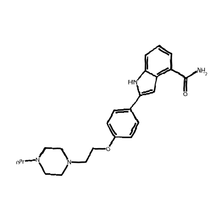 CCCN1CCN(CCOc2ccc(-c3cc4c(C(N)=O)cccc4[nH]3)cc2)CC1